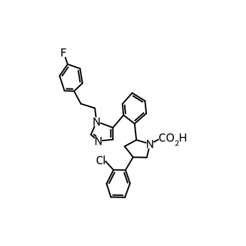 O=C(O)N1CC(c2ccccc2Cl)CC1c1ccccc1-c1cncn1CCc1ccc(F)cc1